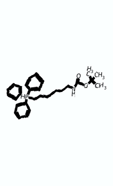 CC(C)(C)OC(=O)NCCCCCC[PH](c1ccccc1)(c1ccccc1)c1ccccc1